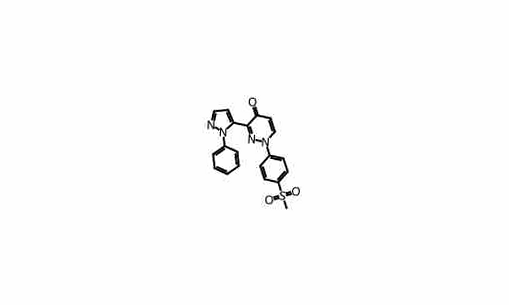 CS(=O)(=O)c1ccc(-n2ccc(=O)c(-c3ccnn3-c3ccccc3)n2)cc1